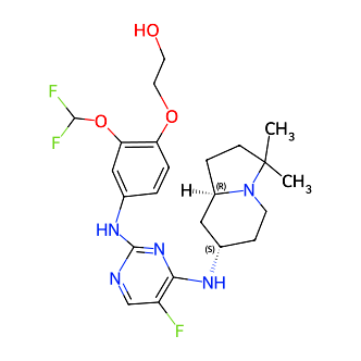 CC1(C)CC[C@@H]2C[C@@H](Nc3nc(Nc4ccc(OCCO)c(OC(F)F)c4)ncc3F)CCN21